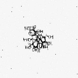 OC[C@H]1OC(CO)([C@]2(O)[C@H](O[C@H]3[C@H](O)[C@@H](O)C(O)O[C@@H]3CO)O[C@H](CO)[C@H](O)[C@@H]2O)[C@@H](O)[C@@H]1O